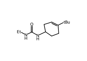 CCNC(=O)NC1CC=C(C(C)(C)C)CC1